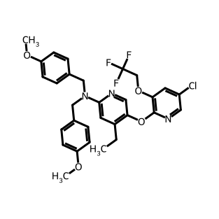 CCc1cc(N(Cc2ccc(OC)cc2)Cc2ccc(OC)cc2)ncc1Oc1ncc(Cl)cc1OCC(F)(F)F